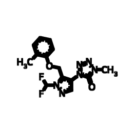 Cc1ccccc1OCc1c(-n2nnn(C)c2=O)cnn1C(F)F